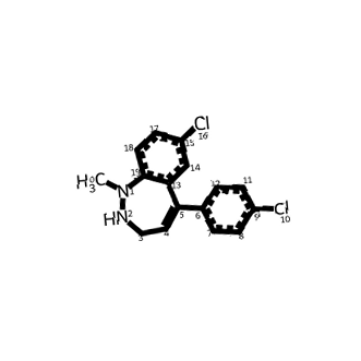 CN1NCC=C(c2ccc(Cl)cc2)c2cc(Cl)ccc21